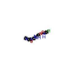 O=C(COc1ccc(-c2nc3cc(N4Cc5cc(N6CCCCC6)ccc5C4=O)ccc3[nH]2)cc1)Nc1ccc(Cl)cc1